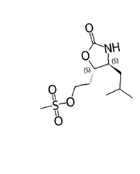 CC(C)C[C@@H]1NC(=O)O[C@H]1CCOS(C)(=O)=O